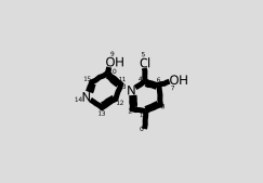 Cc1cnc(Cl)c(O)c1.Oc1cccnc1